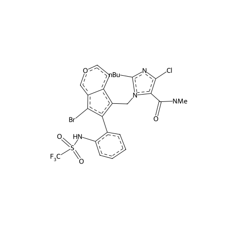 CCCCc1nc(Cl)c(C(=O)NC)n1Cc1c2ccocc-2c(Br)c1-c1ccccc1NS(=O)(=O)C(F)(F)F